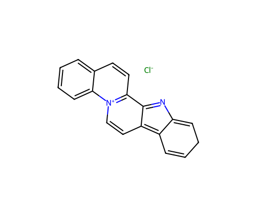 C1=CC2=c3cc[n+]4c(ccc5ccccc54)c3=NC2=CC1.[Cl-]